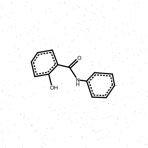 O=C(Nc1cc[c]cc1)c1ccccc1O